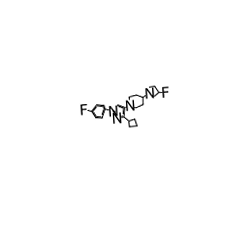 Fc1ccc(-n2cc(N3CCC(N4CCC(F)C4)CC3)c(C3CCC3)n2)cc1